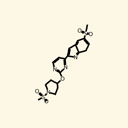 CS(=O)(=O)C1=CCC2=NC(c3ccnc(OC4CCN(S(C)(=O)=O)CC4)n3)=CC2=C1